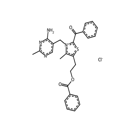 Cc1ncc(C[n+]2c(C(=O)c3ccccc3)sc(CCOC(=O)c3ccccc3)c2C)c(N)n1.[Cl-]